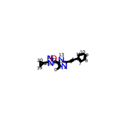 Cc1nc(C#Cc2ccccc2)n(C)c1-c1nc(C2CC2)no1